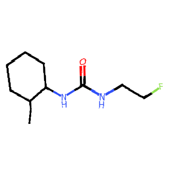 CC1CCCCC1NC(=O)NCCF